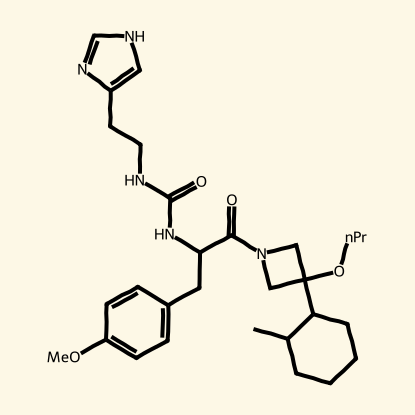 CCCOC1(C2CCCCC2C)CN(C(=O)C(Cc2ccc(OC)cc2)NC(=O)NCCc2c[nH]cn2)C1